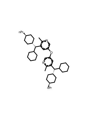 CCC[C@H]1CC[C@H](C(c2cc(Oc3cnc(C)c(C(C4CCCCC4)[C@H]4CC[C@H](CCC)CC4)c3)cnc2C)C2CCCCC2)CC1